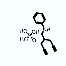 C#CCC(CC#C)CNc1ccccc1.O=P(O)(O)O